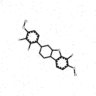 CCOc1ccc(C2CCC3c4ccc(OCC)c(F)c4OC3C2)c(F)c1F